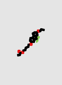 C=CC(=O)OCCCCCOc1ccc2c(c1)C(F)(F)c1cc(OCCC)ccc1-2